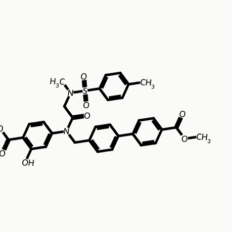 COC(=O)c1ccc(-c2ccc(CN(C(=O)CN(C)S(=O)(=O)c3ccc(C)cc3)c3ccc(C(=O)O)c(O)c3)cc2)cc1